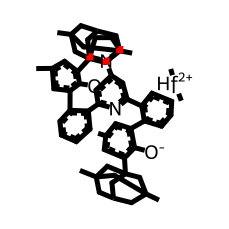 Cc1cc(-c2ccccc2-c2cc(N3CCCC3)cc(-c3ccccc3-c3cc(C)cc(C45CC6CC(C)(CC(C)(C6)C4)C5)c3[O-])n2)c([O-])c(C23CC4CC(C)(CC(C)(C4)C2)C3)c1.[CH3][Hf+2][CH3]